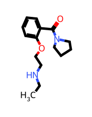 CCNCCOc1ccccc1C(=O)N1CCCC1